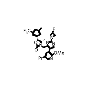 COc1ncc(C(C)C)cc1-c1cnc(N2CC(F)C2)nc1CN1C(=O)O[C@H](c2cc(C)cc(C(F)(F)F)c2)[C@@H]1C